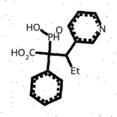 CCC(c1cccnc1)C(C(=O)O)(c1ccccc1)[PH](=O)O